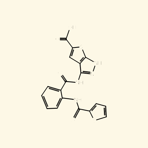 O=C(O)c1cc2c(NC(=O)c3ccccc3NC(=O)c3cccs3)n[nH]c2s1